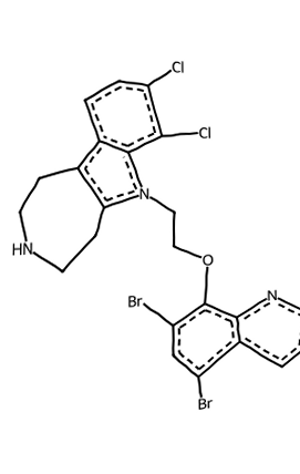 Clc1ccc2c3c(n(CCOc4c(Br)cc(Br)c5cccnc45)c2c1Cl)CCNCC3